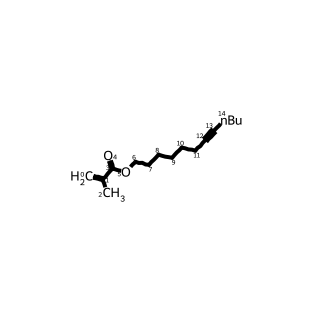 C=C(C)C(=O)OCCCCCCC#CCCCC